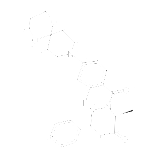 C[C@H]1C(=O)C[C@H](c2ccccc2)SN1C(=O)c1ccc(N2CCC3(CC2)OCCCO3)cc1F